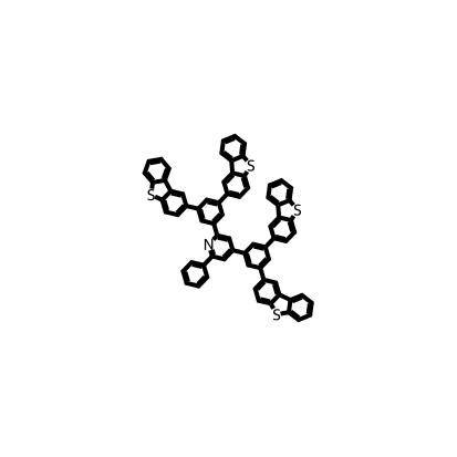 c1ccc(-c2cc(-c3cc(-c4ccc5sc6ccccc6c5c4)cc(-c4ccc5sc6ccccc6c5c4)c3)cc(-c3cc(-c4ccc5sc6ccccc6c5c4)cc(-c4ccc5sc6ccccc6c5c4)c3)n2)cc1